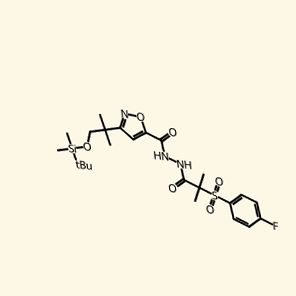 CC(C)(CO[Si](C)(C)C(C)(C)C)c1cc(C(=O)NNC(=O)C(C)(C)S(=O)(=O)c2ccc(F)cc2)on1